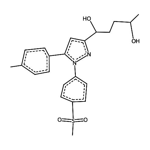 Cc1ccc(-c2cc(C(O)CCC(C)O)nn2-c2ccc(S(C)(=O)=O)cc2)cc1